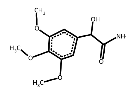 COc1cc(C(O)C([NH])=O)cc(OC)c1OC